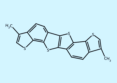 Cc1csc2c1ccc1c2sc2c3ccc4c(C)csc4c3sc12